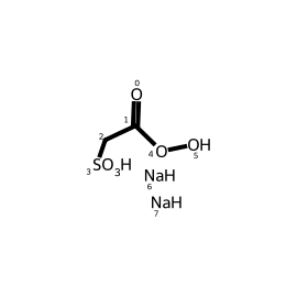 O=C(CS(=O)(=O)O)OO.[NaH].[NaH]